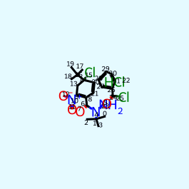 CC(C)(C)N(N)C(=O)C1=C([N+](=O)[O-])CC(Cl)(C(C)(C)C)C=C1.Cl.O=C(Cl)c1ccccc1